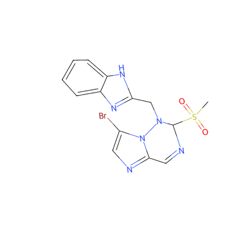 CS(=O)(=O)C1N=Cc2ncc(Br)n2N1Cc1nc2ccccc2[nH]1